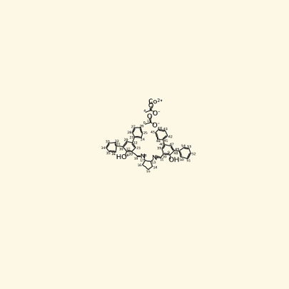 CC(=O)[O-].CC(=O)[O-].Oc1c(C=NC2CCCC2N=Cc2cc(-c3ccccc3)cc(-c3ccccc3)c2O)cc(-c2ccccc2)cc1-c1ccccc1.[Co+2]